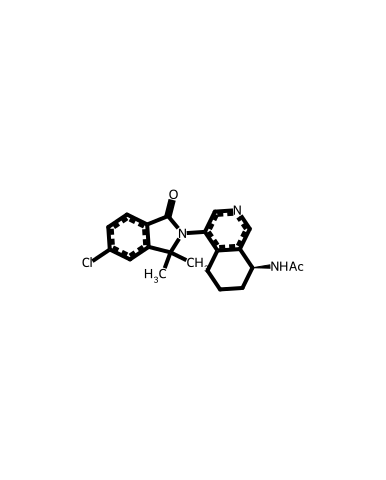 CC(=O)N[C@H]1CCCc2c1cncc2N1C(=O)c2ccc(Cl)cc2C1(C)C